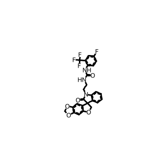 O=C(NCCN1C(=O)C2(COc3cc4c(cc32)OCO4)c2ccccc21)Nc1ccc(F)cc1C(F)(F)F